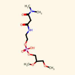 COCC(COP(=O)(O)OCCNC(=O)CC(=O)N(C)C)OC